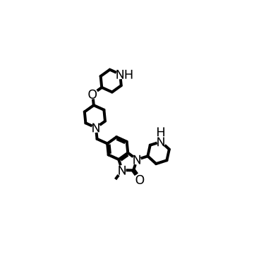 Cn1c(=O)n(C2CCCNC2)c2ccc(CN3CCC(OC4CCNCC4)CC3)cc21